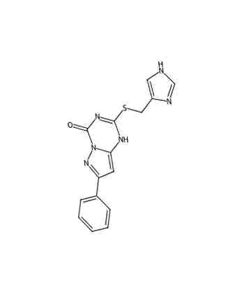 O=c1nc(SCc2c[nH]cn2)[nH]c2cc(-c3ccccc3)nn12